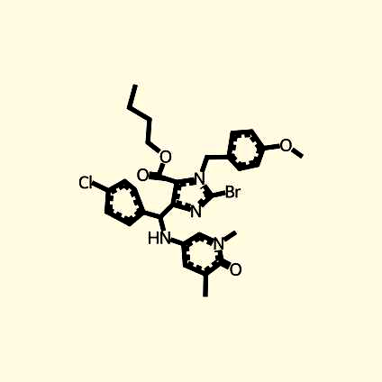 CCCCOC(=O)c1c(C(Nc2cc(C)c(=O)n(C)c2)c2ccc(Cl)cc2)nc(Br)n1Cc1ccc(OC)cc1